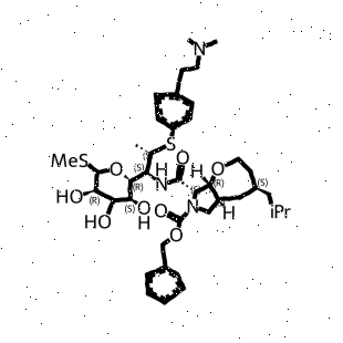 CSC1O[C@H]([C@H](NC(=O)[C@@H]2[C@@H]3OCC[C@@H](CC(C)C)C[C@H]3CN2C(=O)OCc2ccccc2)[C@H](C)Sc2ccc(CCN(C)C)cc2)[C@@H](O)C(O)[C@H]1O